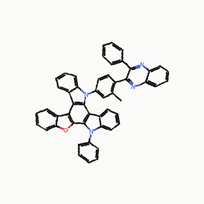 Cc1cc(-n2c3ccccc3c3c4c5ccccc5oc4c4c(c5ccccc5n4-c4ccccc4)c32)ccc1-c1nc2ccccc2nc1-c1ccccc1